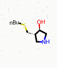 CCCCSC[C@H]1CNC[C@@H]1O